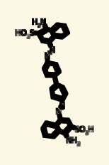 Nc1c(S(=O)(=O)O)cc(/N=N/c2ccc(-c3ccc(/N=N/c4cc(S(=O)(=O)O)c(N)c5ccccc45)cc3)cc2)c2ccccc12